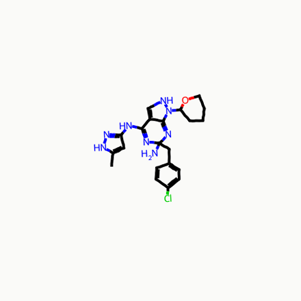 Cc1cc(NC2=NC(N)(Cc3ccc(Cl)cc3)N=C3C2=CNN3C2CCCCO2)n[nH]1